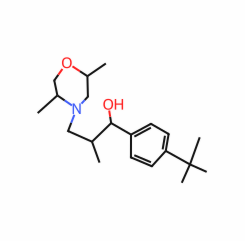 CC1CN(CC(C)C(O)c2ccc(C(C)(C)C)cc2)C(C)CO1